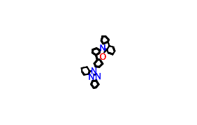 CC12C=CC=CC1c1ccccc1N2c1cccc2c1oc1ccc(-n3c4c(n5c6ccccc6nc35)C=CCC4)cc12